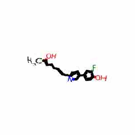 CC(O)CCC/C=C/c1ccc(-c2ccc(O)c(F)c2)cn1